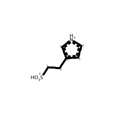 O=S(=O)(O)CCc1cc[nH]c1